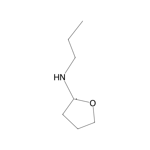 CCCN[C]1CCCO1